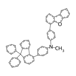 CN(c1ccc(-c2cccc3c2-c2ccccc2C3(c2ccccc2)c2ccccc2)cc1)c1ccc(-c2cccc3c2oc2ccccc23)cc1